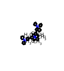 CC1(C)c2cccc3c2N2c4c1cc(-c1ccc(N(c5ccccc5)C5C=CC=CC5)cc1)cc4C(C)(C)c1cc(-c4ccc(N(c5ccccc5)c5ccccc5)c5ccccc45)cc(c12)C3(C)C